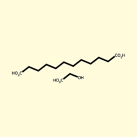 O=C(O)CCCCCCCCCCC(=O)O.O=C(O)CO